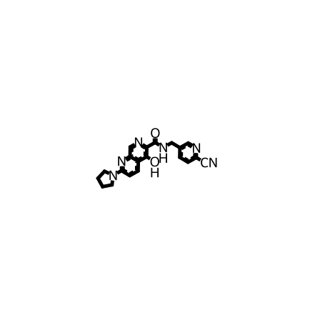 N#Cc1ccc(CNC(=O)c2ncc3nc(N4CCCC4)ccc3c2O)cn1